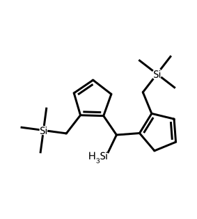 C[Si](C)(C)CC1=C(C([SiH3])C2=C(C[Si](C)(C)C)C=CC2)CC=C1